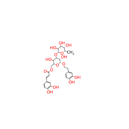 CC1O[C@@H](OC2[C@H](O)C(COC(=O)/C=C/c3ccc(O)c(O)c3)O[C@@H](OCCc3ccc(O)c(O)c3)[C@H]2O)[C@@H](O)C(O)[C@@H]1O